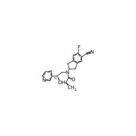 C=CC(=O)N(C[C@@H](O)c1cccnc1)C1Cc2cc(F)c(C#N)cc2C1